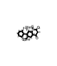 COc1cccc(F)c1-c1c(Cl)cc2c(c1F)N(OC)C(=O)CC2=O